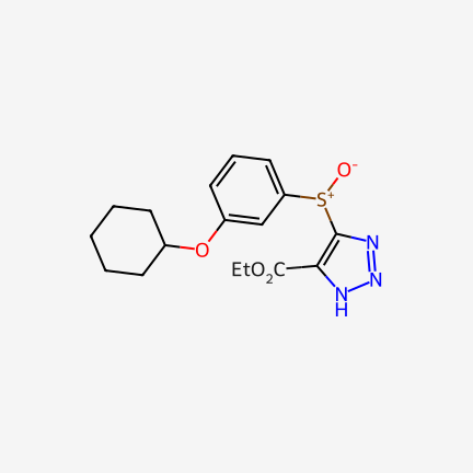 CCOC(=O)c1[nH]nnc1[S+]([O-])c1cccc(OC2CCCCC2)c1